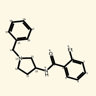 CCc1ccccc1C(=O)NC1CCN(Cc2ccccc2)C1